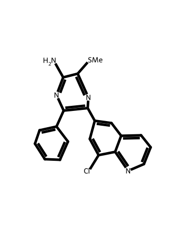 CSc1nc(-c2cc(Cl)c3ncccc3c2)c(-c2ccccc2)nc1N